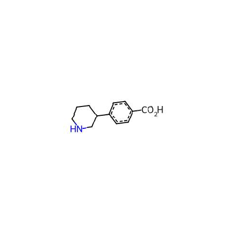 O=C(O)c1ccc(C2CCCNC2)cc1